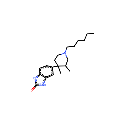 CCCCCCN1CCC(C)(c2ccc3[nH]c(=O)[nH]c3c2)C(C)C1